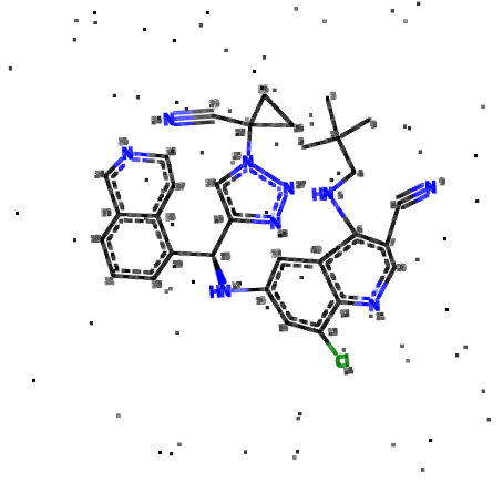 CC(C)(C)CNc1c(C#N)cnc2c(Cl)cc(N[C@H](c3cn(C4(C#N)CC4)nn3)c3cccc4cnccc34)cc12